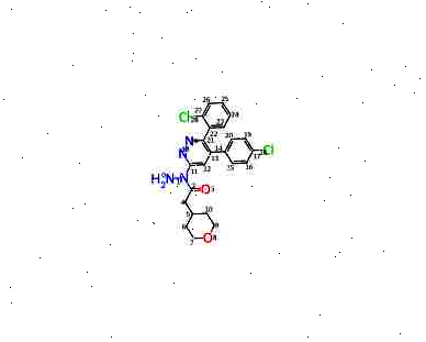 NN(C(=O)CC1CCOCC1)c1cc(-c2ccc(Cl)cc2)c(-c2ccccc2Cl)nn1